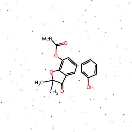 CNC(=O)Oc1cccc2c1OC(C)(C)C2=O.Oc1ccccc1